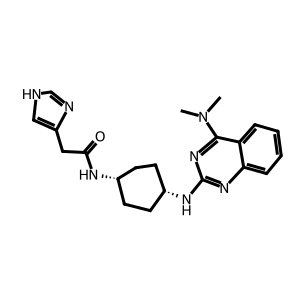 CN(C)c1nc(N[C@H]2CC[C@@H](NC(=O)Cc3c[nH]cn3)CC2)nc2ccccc12